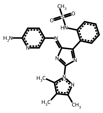 Cc1nn(C2=NC(=Nc3ccc(N)nc3)C(c3ccccc3NS(C)(=O)=O)=N2)c(C)c1C